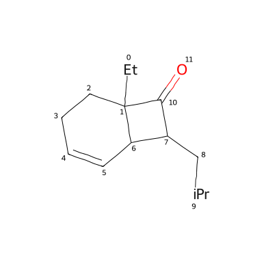 CCC12CCC=CC1C(CC(C)C)C2=O